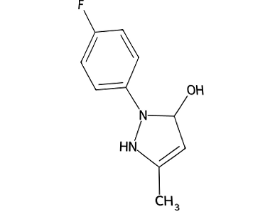 CC1=CC(O)N(c2ccc(F)cc2)N1